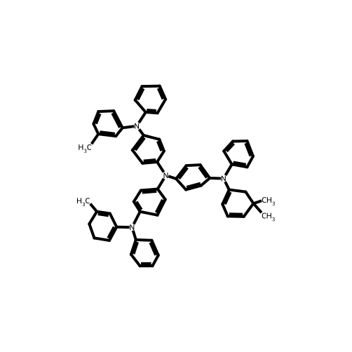 CC1=CC(N(c2ccccc2)c2ccc(N(c3ccc(N(C4=CC=CC(C)(C)C4)c4ccccc4)cc3)c3ccc(N(c4ccccc4)c4cccc(C)c4)cc3)cc2)=CCC1